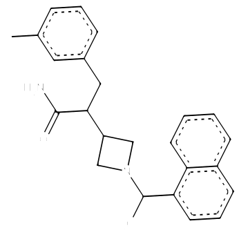 CC(c1cccc2ccccc12)N1CC(C(Cc2cccc(F)c2)C(N)=O)C1